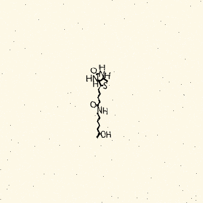 C=C(O)CCCCCNC(=O)CCCC[C@@H]1SC[C@@H]2NC(=O)N[C@@H]21